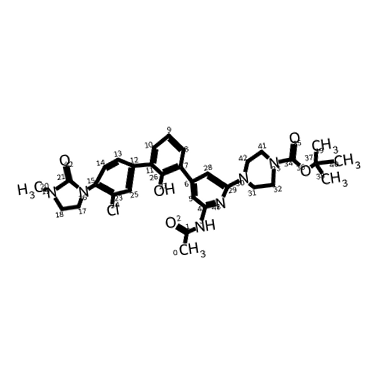 CC(=O)Nc1cc(-c2cccc(-c3ccc(N4CCN(C)C4=O)c(Cl)c3)c2O)cc(N2CCN(C(=O)OC(C)(C)C)CC2)n1